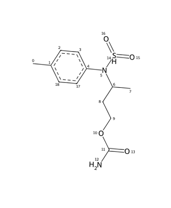 Cc1ccc(N(C(C)CCOC(N)=O)[SH](=O)=O)cc1